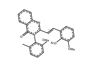 COc1cccc(/C=C/c2nc3ccccc3c(=O)n2-c2c(C)cccc2OC)c1OC(C)=O